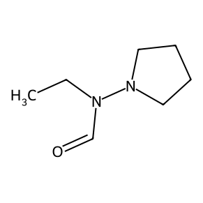 CCN(C=O)N1CCCC1